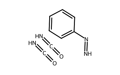 N=C=O.N=C=O.N=Nc1ccccc1